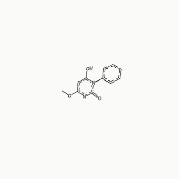 COc1cc(O)n(-c2ccccc2)c(=O)n1